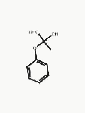 CC(O)([C]=O)Oc1ccccc1